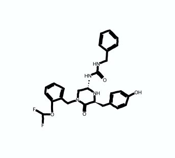 O=C(NCc1ccccc1)N[C@H]1CN(Cc2ccccc2OC(F)F)C(=O)[C@H](Cc2ccc(O)cc2)N1